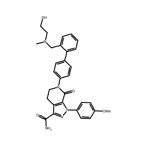 COc1ccc(-n2nc(C(N)=O)c3c2C(=O)N(c2ccc(-c4ccccc4CN(C)CCO)cc2)CC3)cc1